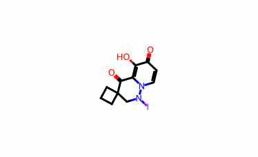 O=C1c2c(O)c(=O)ccn2N(I)CC12CCC2